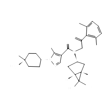 CC1(C)[C@@H]2C[C@@H](N(CC(=O)c3c(F)cccc3Cl)C(=O)c3cnn([C@H]4CC[C@](C)(C(=O)O)CC4)c3C(F)(F)F)C[C@@H]21